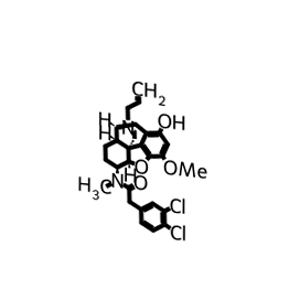 C=CCN1CC[C@]23c4c5c(O)cc(OC)c4O[C@H]2[C@@H](N(C)C(=O)Cc2ccc(Cl)c(Cl)c2)CC[C@H]3[C@H]1C5